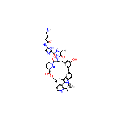 CCn1c(-c2cccnc2[C@H](C)OC)c2c3cc(ccc31)-c1cc(O)cc(c1)C[C@H](NC(=O)[C@H](C(C)C)N(C)C(=O)c1ncc(NC(=O)/C=C/CN(C)C)[nH]1)C(=O)N1CCC[C@H](N1)C(=O)OCC(C)(C)C2